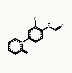 O=CNc1ccc(-n2ccccc2=O)cc1F